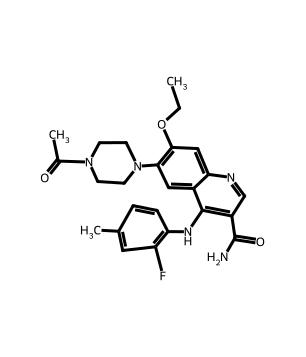 CCOc1cc2ncc(C(N)=O)c(Nc3ccc(C)cc3F)c2cc1N1CCN(C(C)=O)CC1